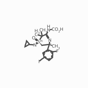 CC1(C)C(NC(=O)O)=N[C@](C)(c2cc(I)ccc2F)C[S@]1(=O)=NC1CC1